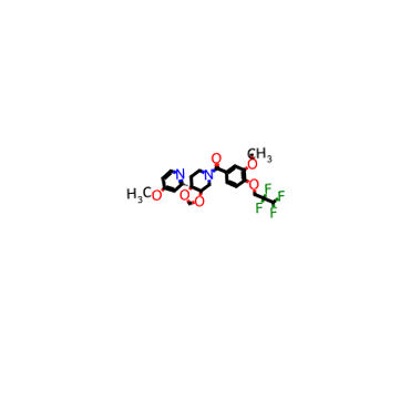 COc1ccnc([C@]23CCN(C(=O)c4ccc(OCC(F)(F)C(F)F)c(OC)c4)CC2OCO3)c1